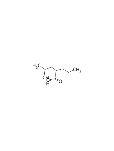 CCCC(CC(C)C)C(C)=O